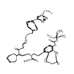 Cn1cc(-c2cccc(CCOCCC(=O)N(CCN(CCc3ccc(OC(=O)OC(C)(C)C)c4c3OCC(=O)N4)C(=O)O)C3CCCCCC3)c2)nn1